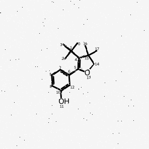 CC(C)(C)C1=C(c2cccc(O)c2)OCC1(C)C